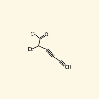 C#CC#CC(CC)C(=O)Cl